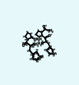 NC(=O)C1CCCN1C(=O)C(N)Cc1c[nH]cn1.NC(Cc1c[nH]cn1)C(=O)N1CCCC1C(=O)O